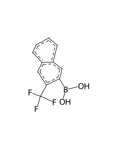 OB(O)c1cc2ccccc2cc1C(F)(F)F